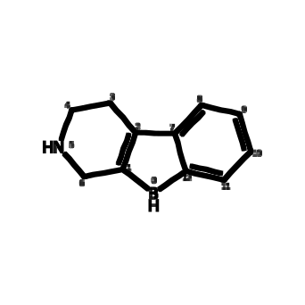 B1C2=C(CCNC2)c2ccccc21